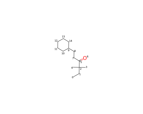 CCC(C)(C)C(=O)CCC1CCCCC1